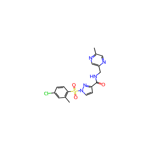 Cc1cnc(CNC(=O)c2ccn(S(=O)(=O)c3ccc(Cl)cc3C)n2)cn1